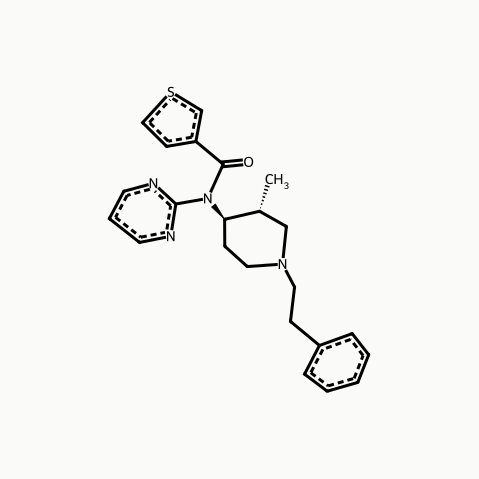 C[C@@H]1CN(CCc2ccccc2)CC[C@H]1N(C(=O)c1ccsc1)c1ncccn1